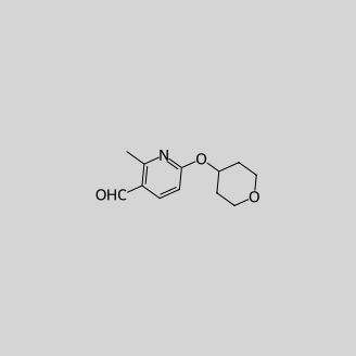 Cc1nc(OC2CCOCC2)ccc1C=O